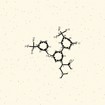 CC(=O)C(CC(C)C)c1cc(Oc2cccc(C(F)(F)F)c2)cc(-c2cc(F)cc(C(F)(F)F)c2)c1